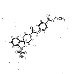 CCOC(=O)c1ccc(NC(=O)N2CCC3(CC2)CN(S(N)(=O)=O)c2ccccc23)cc1